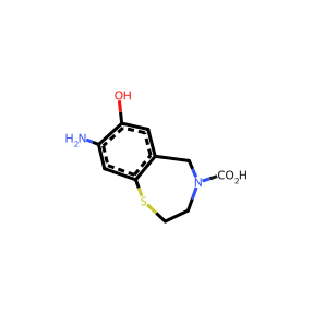 Nc1cc2c(cc1O)CN(C(=O)O)CCS2